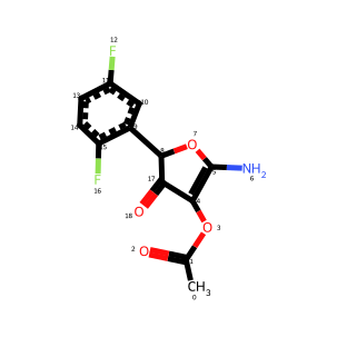 CC(=O)OC1=C(N)OC(c2cc(F)ccc2F)C1=O